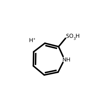 O=S(=O)(O)C1=CC=CC=CN1.[H+]